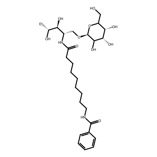 CC[C@@H](O)[C@@H](O)[C@H](CO[C@H]1OC(CO)[C@H](O)[C@H](O)C1O)NC(=O)CCCCCCCCNC(=O)c1ccccc1